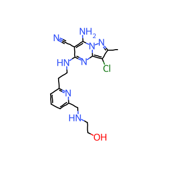 Cc1nn2c(N)c(C#N)c(NCCc3cccc(CNCCO)n3)nc2c1Cl